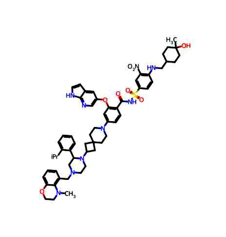 CC(C)c1ccccc1C1CN(Cc2cccc3c2N(C)CCO3)CCN1C1CC2(CCN(c3ccc(C(=O)NS(=O)(=O)c4ccc(NCC5CCC(C)(O)CC5)c([N+](=O)[O-])c4)c(Oc4cnc5[nH]ccc5c4)c3)CC2)C1